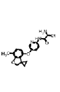 CCC(N)C(=O)Nc1ccc(Oc2ccc(C)c3c2C2(CC2)CO3)cn1